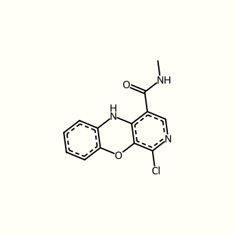 CNC(=O)c1cnc(Cl)c2c1Nc1ccccc1O2